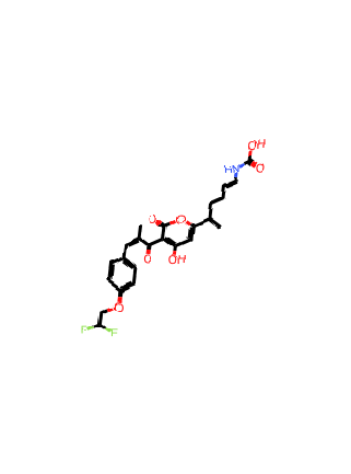 CC(=Cc1ccc(OCC(F)F)cc1)C(=O)c1c(O)cc(C(C)CCC=CNC(=O)O)oc1=O